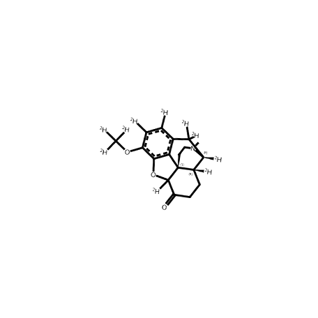 [2H]c1c([2H])c2c3c(c1OC([2H])([2H])[2H])OC1([2H])C(=O)CC[C@]4([2H])[C@@]31CCN(C)[C@]4([2H])C2([2H])[2H]